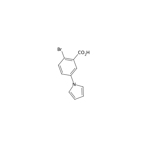 O=C(O)c1cc(-n2cccc2)ccc1Br